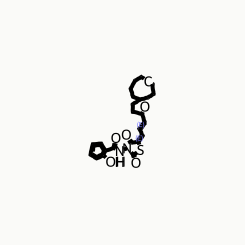 O=C(NN1C(=O)S/C(=C/C=C/C2CCC3(CCCCCCCC3)O2)C1=O)c1ccccc1O